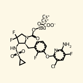 CC(C)(C)OC(=O)N1CC(F)(F)[C@H](NS(=O)(=O)C2CC2)[C@@H]1Cc1cccc(Oc2nc(N)c(F)cc2Cl)c1F.O=C([O-])[O-].[Cs+].[Cs+]